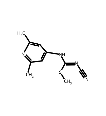 CS/C(=N\C#N)Nc1cc(C)nc(C)c1